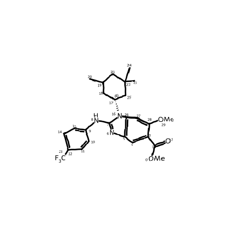 COC(=O)c1cc2nc(Nc3ccc(C(F)(F)F)cc3)n([C@@H]3CC(C)CC(C)(C)C3)c2cc1OC